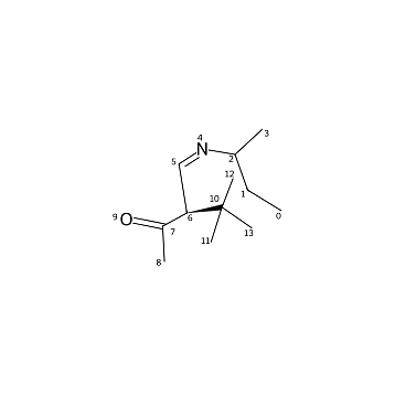 CCC(C)/N=C\[C@H](C(C)=O)C(C)(C)C